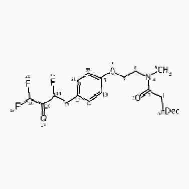 CCCCCCCCCCCC(=O)N(C)CCOc1ccc(CC(F)C(=O)C(F)F)cc1